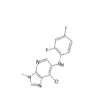 Cn1cnc2c(Cl)c(Nc3ccc(I)cc3F)cnc21